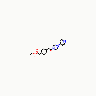 CCOC(=O)CC1CCC(CC(=O)N2CCN(c3ccncc3)CC2)CC1